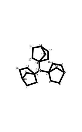 C1CC2(B(C34CCC(CC3)C4)C34CCC(CC3)C4)CCC1C2